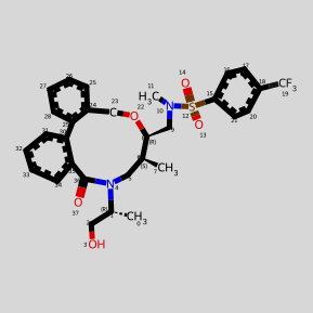 C[C@H](CO)N1C[C@H](C)[C@H](CN(C)S(=O)(=O)c2ccc(C(F)(F)F)cc2)OCc2ccccc2-c2ccccc2C1=O